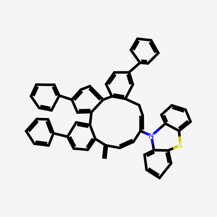 C=C1/C=C\C(N2c3ccccc3Sc3ccccc32)=C/Cc2cc(-c3ccccc3)ccc2-c2ccc(-c3ccccc3)cc2-c2cc(-c3ccccc3)ccc21